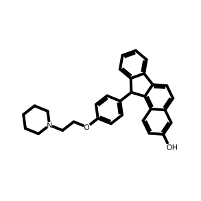 Oc1ccc2c3c(ccc2c1)-c1ccccc1C3c1ccc(OCCN2CCCCC2)cc1